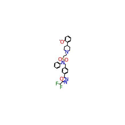 COc1ccccc1C1CCN(CCS(=O)(=O)N(Cc2ccc(-c3nnc(C(F)F)o3)cc2)c2ccccc2)CC1